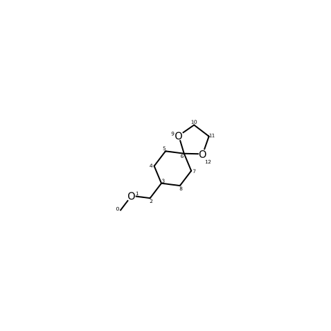 COCC1CCC2(CC1)OCCO2